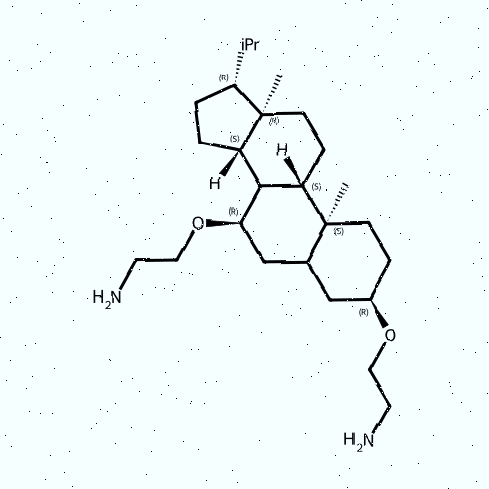 CC(C)[C@H]1CC[C@H]2C3[C@H](OCCN)CC4C[C@H](OCCN)CC[C@]4(C)[C@H]3CC[C@]12C